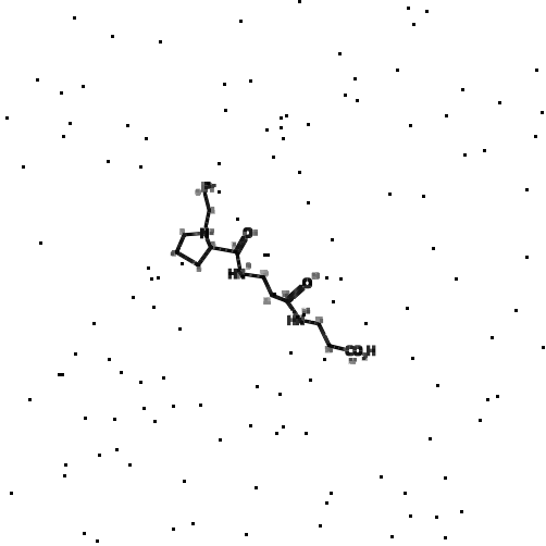 CC(C)CN1CCCC1C(=O)NCCC(=O)NCCC(=O)O